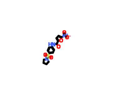 O=C(Nc1ccc(S(=O)(=O)N2CCCC2)cc1)c1ccc([N+](=O)[O-])o1